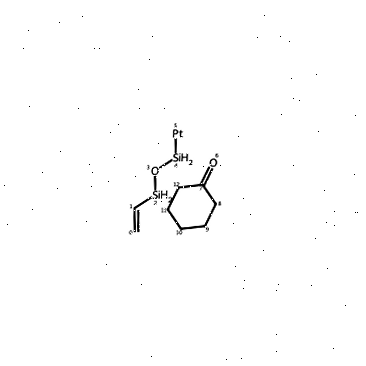 C=C[SiH2]O[SiH2][Pt].O=C1CCCCC1